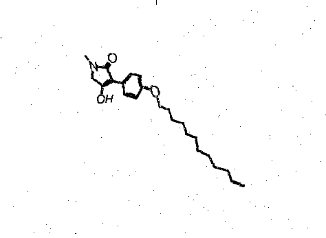 CCCCCCCCCCCCOc1ccc(C2=C(O)CN(C)C2=O)cc1